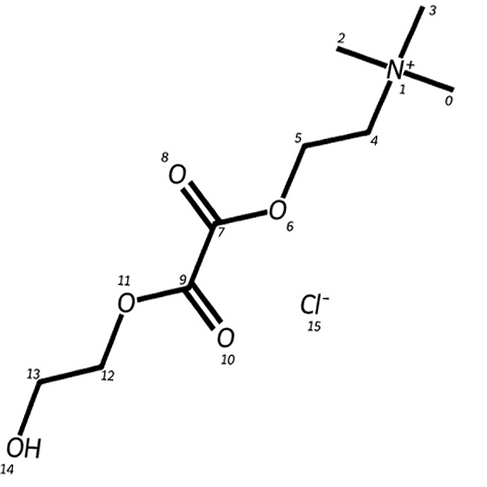 C[N+](C)(C)CCOC(=O)C(=O)OCCO.[Cl-]